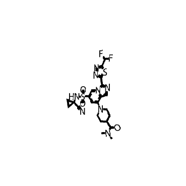 CN(C)C(=O)C1CCN(c2cc(S(=O)(=O)NC3(C#N)CC3)cn3c(-c4nnc(C(F)F)s4)ncc23)CC1